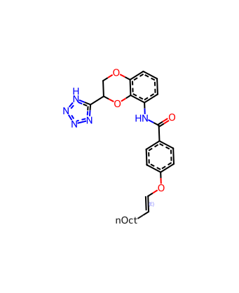 CCCCCCCC/C=C/Oc1ccc(C(=O)Nc2cccc3c2OC(c2nnn[nH]2)CO3)cc1